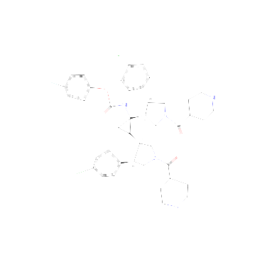 O=C(NC1([C@@H]2CN(C(=O)C3CCNCC3)C[C@H]2c2ccc(Cl)cc2)CC1[C@H]1CN(C(=O)C2CCNCC2)C[C@H]1c1ccc(Cl)cc1)Oc1ccc(F)cc1